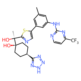 Cc1cc(Nc2nccc(C(F)(F)F)n2)cc(-c2cnc([C@](C)(O)[C@]3(O)CC[C@@H](c4nn[nH]n4)CC3)s2)c1